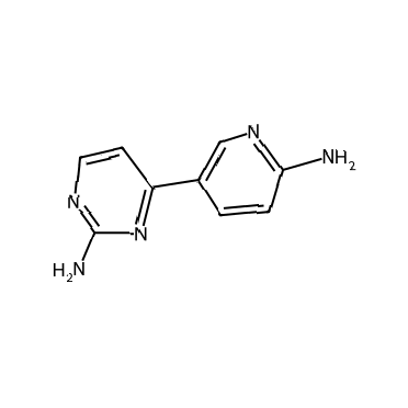 Nc1ccc(-c2ccnc(N)n2)cn1